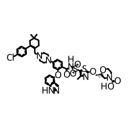 Cc1nc(OC[C@@H]2CN(C(=O)O)CCO2)sc1S(=O)(=O)NC(=O)c1ccc(N2CCN(CC3=C(c4ccc(Cl)cc4)CC(C)(C)CC3)CC2)cc1Oc1cccc2[nH]ncc12